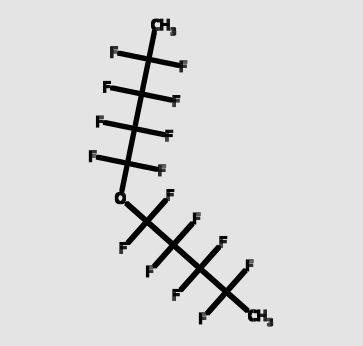 CC(F)(F)C(F)(F)C(F)(F)C(F)(F)OC(F)(F)C(F)(F)C(F)(F)C(C)(F)F